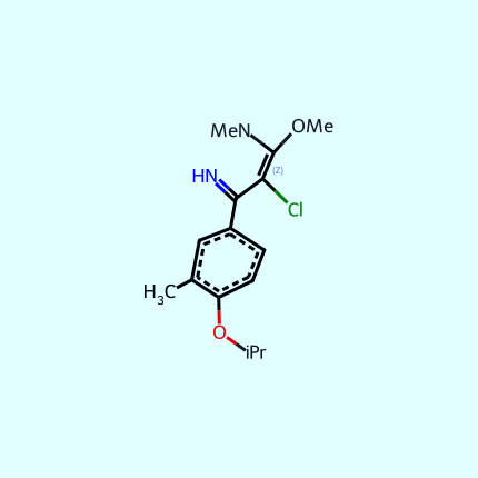 CN/C(OC)=C(/Cl)C(=N)c1ccc(OC(C)C)c(C)c1